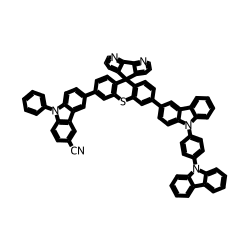 N#Cc1ccc2c(c1)c1cc(-c3ccc4c(c3)Sc3cc(-c5ccc6c(c5)c5ccccc5n6-c5ccc(-n6c7ccccc7c7ccccc76)cc5)ccc3C43c4cccnc4-c4ncccc43)ccc1n2-c1ccccc1